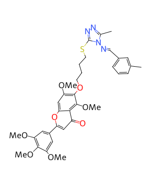 COc1cc(-c2cc(=O)c3c(OC)c(OCCCCSc4nnc(C)n4N=Cc4cccc(C)c4)c(OC)cc3o2)cc(OC)c1OC